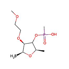 B[C@@H]1O[C@H](C)C(OP(C)(=O)O)[C@@H]1OCCOC